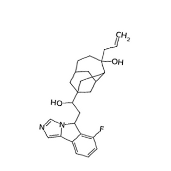 C=CCC1(O)CCC2CC3CC(C(O)CC4c5c(F)cccc5-c5cncn54)(C2)CC31